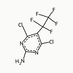 Nc1nc(Cl)c(C(F)(F)C(F)(F)F)c(Cl)n1